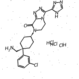 Cl.Cl.Cl.NC[C@]1(c2cccc(Cl)c2)CC[C@H](N2CCn3c(nnc3-c3nnc[nH]3)C2=O)CC1